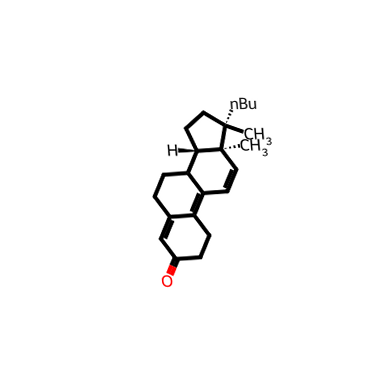 CCCC[C@@]1(C)CC[C@H]2C3CCC4=CC(=O)CCC4=C3C=C[C@@]21C